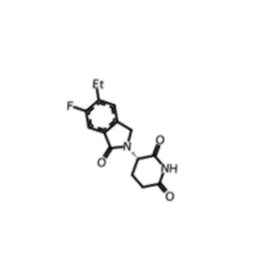 CCc1cc2c(cc1F)C(=O)N([C@H]1CCC(=O)NC1=O)C2